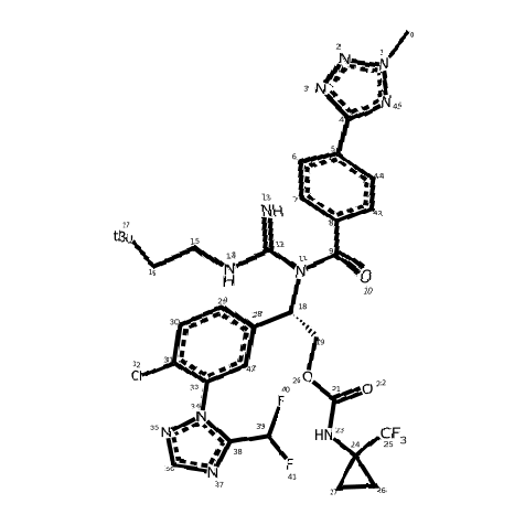 Cn1nnc(-c2ccc(C(=O)N(C(=N)NCCC(C)(C)C)[C@H](COC(=O)NC3(C(F)(F)F)CC3)c3ccc(Cl)c(-n4ncnc4C(F)F)c3)cc2)n1